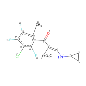 CCOC(=O)/C(=C\NC1CC1)C(=O)c1c(C)c(F)c(F)c(Cl)c1F